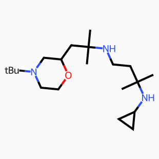 CC(C)(CC1CN(C(C)(C)C)CCO1)NCCC(C)(C)NC1CC1